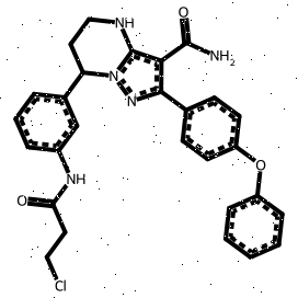 NC(=O)c1c(-c2ccc(Oc3ccccc3)cc2)nn2c1NCCC2c1cccc(NC(=O)CCCl)c1